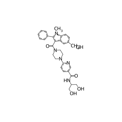 Cc1ccc2c(c1)c(C(=O)N1CCN(c3ccc(C(=O)NC(CO)CO)cn3)CC1)c(-c1ccccc1)n2C.Cl